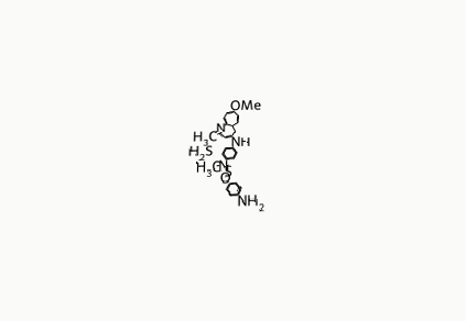 COC1=CC=C2N=C(C)C=C(Nc3ccc(N(C)SOc4ccc(N)cc4)cc3)CC2C=C1.S